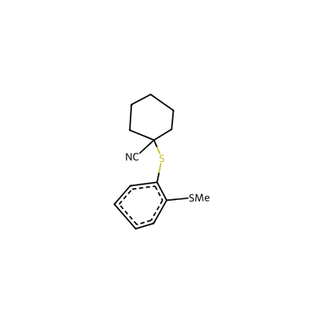 CSc1ccccc1SC1(C#N)CCCCC1